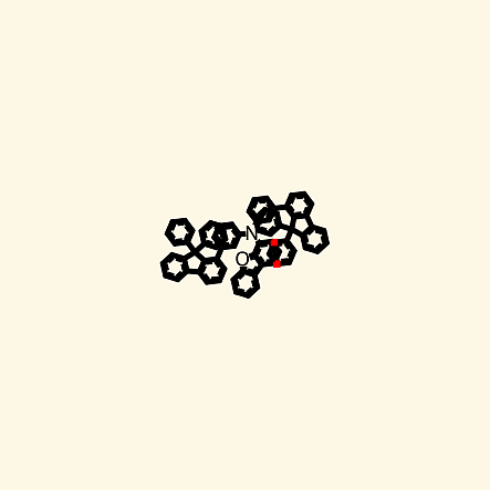 c1ccc(C2(c3ccccc3)c3ccccc3-c3cccc(-c4cccc(N(c5cccc(-c6cccc7c6C(c6ccccc6)(c6ccccc6)c6ccccc6-7)c5)c5cccc6c5oc5ccccc56)c4)c32)cc1